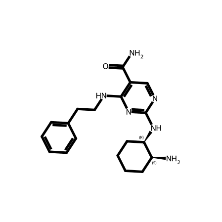 NC(=O)c1cnc(N[C@@H]2CCCC[C@@H]2N)nc1NCCc1ccccc1